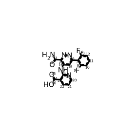 NC(=O)c1nnc(-c2c(F)cccc2F)cc1Nc1ncccc1C(=O)O